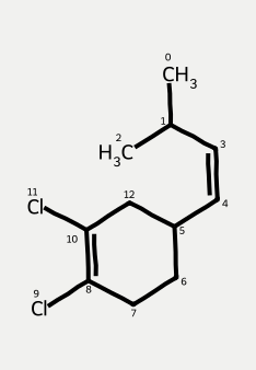 CC(C)/C=C\C1CCC(Cl)=C(Cl)C1